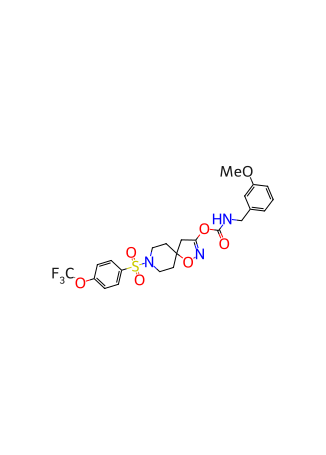 COc1cccc(CNC(=O)OC2=NOC3(CCN(S(=O)(=O)c4ccc(OC(F)(F)F)cc4)CC3)C2)c1